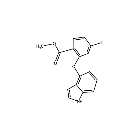 COC(=O)c1ccc(F)cc1Oc1cccc2[nH]ccc12